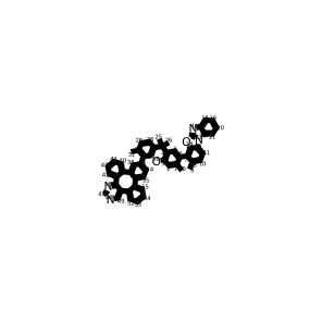 Cc1cc2c(cc1-c1c(C)ccc3c1oc1nc4ccccc4n13)C(C)(C)c1ccc(C)c(-c3ccc4c(c3)-c3ccccc3-c3ncncc3-c3ccccc3-4)c1O2